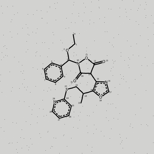 CCOC(c1ccccc1)N1OC(=O)C(c2ncoc2C(C)CSc2ccccn2)C1=O